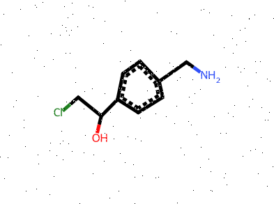 NCc1ccc(C(O)CCl)cc1